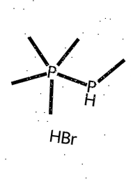 Br.CPP(C)(C)(C)C